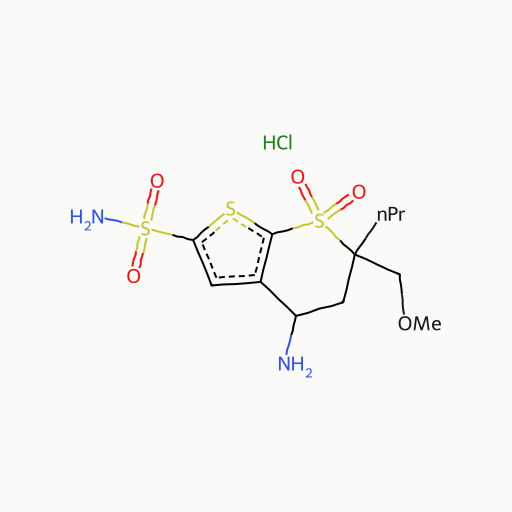 CCCC1(COC)CC(N)c2cc(S(N)(=O)=O)sc2S1(=O)=O.Cl